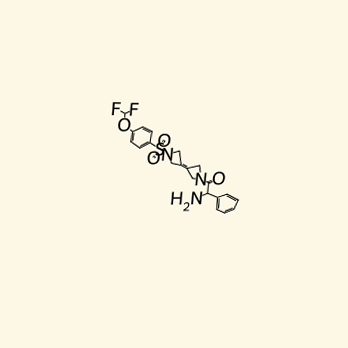 NC(C(=O)N1CC(=C2CN(S(=O)(=O)c3ccc(OC(F)F)cc3)C2)C1)c1ccccc1